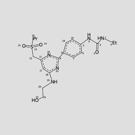 CCNC(=O)Nc1ccc(-c2nc(CS(=O)(=O)C(C)C)cc(NCCO)n2)cc1